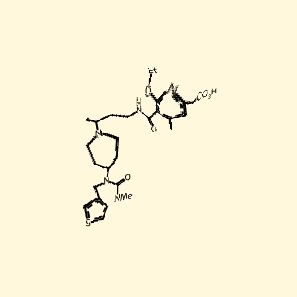 CCOc1nc(C(=O)O)cc(C)c1C(=O)NCCC(C)N1CCC(N(Cc2ccsc2)C(=O)NC)CC1